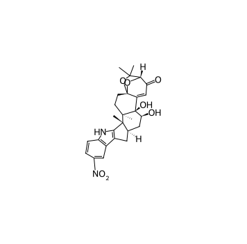 CC1(C)O[C@@]23CC[C@]4(C)[C@@]5(C)c6[nH]c7ccc([N+](=O)[O-])cc7c6C[C@@H]5C[C@H](O)[C@@]4(O)C2=CC(=O)[C@@H]1O3